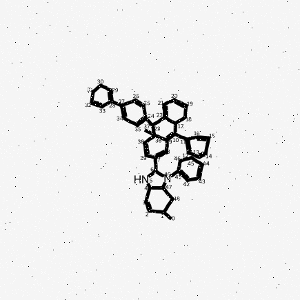 CC1C=CC2NC(C3=CC4=C(c5ccccc5)C5CC=CC=C5C(c5ccc(C6=CCCC=C6)cc5)C4(C)C=C3)N(C3=CC=CCC3)C2C1